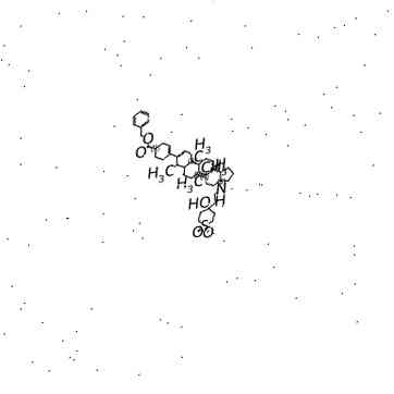 CC1C(C2=CC[C@H](C(=O)OCc3ccccc3)CC2)=CC[C@@]2(C)C1CC[C@]1(C)C2CC[C@@H]2C3CCC[C@]3(NCCC3(O)CCS(=O)(=O)CC3)CC[C@]21C